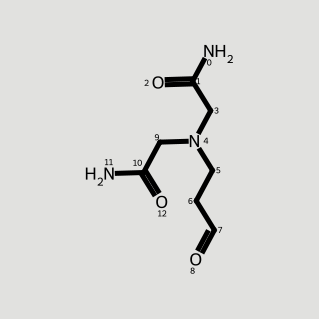 NC(=O)CN(CCC=O)CC(N)=O